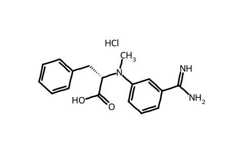 CN(c1cccc(C(=N)N)c1)[C@@H](Cc1ccccc1)C(=O)O.Cl